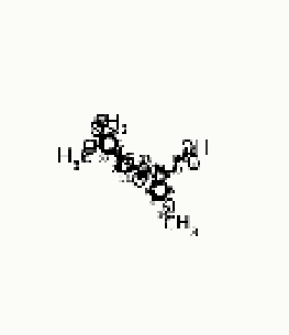 CCOc1ccc2c(c1)c(CCC(=O)O)cn2S(=O)(=O)c1ccc(-c2ccc(OC)c(OC)c2)s1